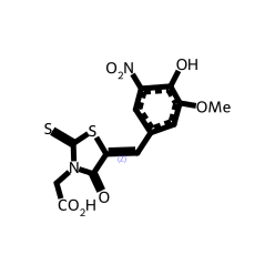 COc1cc(/C=C2\SC(=S)N(CC(=O)O)C2=O)cc([N+](=O)[O-])c1O